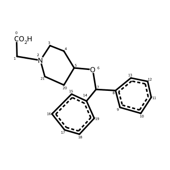 O=C(O)CN1CCC(OC(c2ccccc2)c2ccccc2)CC1